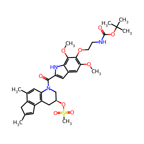 COc1cc2cc(C(=O)N3C[C@@H](OS(C)(=O)=O)Cc4c3cc(C)c3c4C=C(C)C3)[nH]c2c(OC)c1OCCNC(=O)OC(C)(C)C